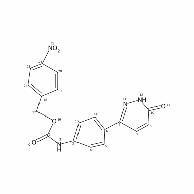 O=C(Nc1ccc(-c2ccc(=O)[nH]n2)cc1)OCc1ccc([N+](=O)[O-])cc1